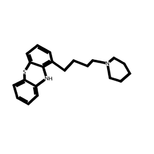 c1ccc2c(c1)Nc1c(CCCCN3CCCCC3)cccc1S2